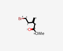 C=C(CCBr)CC(=O)OC